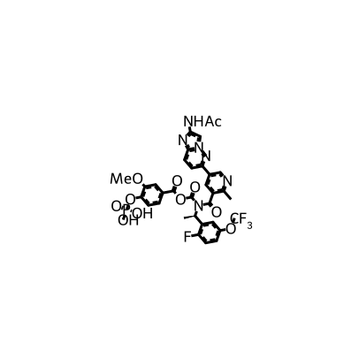 COc1cc(C(=O)OC(=O)N(C(=O)c2cc(-c3ccc4nc(NC(C)=O)cn4n3)cnc2C)[C@H](C)c2cc(OC(F)(F)F)ccc2F)ccc1OP(=O)(O)O